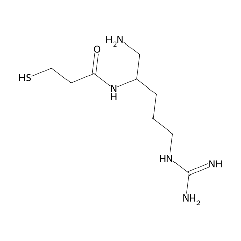 N=C(N)NCCCC(CN)NC(=O)CCS